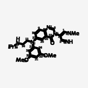 CN/C=C(\C=N)n1cnc2ccc(N(CCNC(C)C)c3cc(OC)cc(OC)c3)cc2c1=O